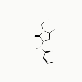 C/C=C\C(=O)N(C=O)C1CC(C)N(CC(C)=O)C1=O